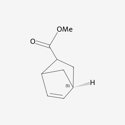 COC(=O)C1C[C@H]2C=CC1C2